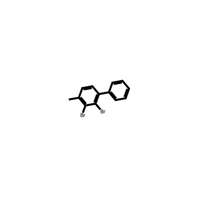 Cc1ccc(-c2ccccc2)c(Br)c1Br